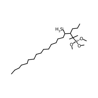 CCCCCCCCCCCCCCCC([SiH3])C(CCC)C(C)(C)[N+](OC)(OC)OC